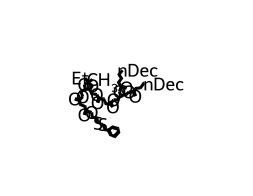 CCCCCCCCCCCCCC(=O)OCC(COC(=O)CCC(=O)OCC1OC(C)(CC)OC1COC(=O)CCC(=O)OCCSSCc1ccccc1)OC(=O)CCCCCCCCCCCCC